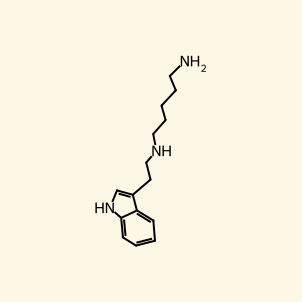 NCCCCCNCCc1c[nH]c2ccccc12